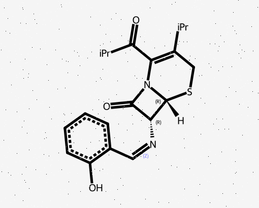 CC(C)C(=O)C1=C(C(C)C)CS[C@@H]2[C@H](/N=C\c3ccccc3O)C(=O)N12